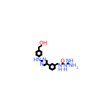 N=C(N)NC(=O)NCc1cccc(-c2cnc(Nc3ccc(CCO)cc3)nc2)c1